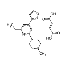 CCc1cc(-c2ccsc2)cc(N2CCN(C)CC2)n1.O=C(O)/C=C/C(=O)O